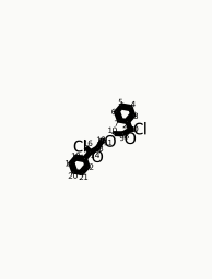 ClC1(c2ccccc2)OC1COCC1OC1(Cl)c1ccccc1